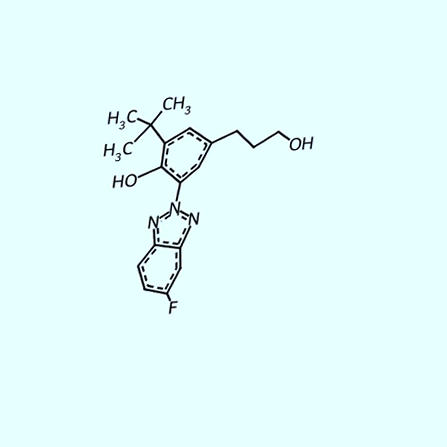 CC(C)(C)c1cc(CCCO)cc(-n2nc3ccc(F)cc3n2)c1O